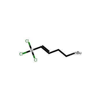 CCCCCC/C=[C]/[Si](Cl)(Cl)Cl